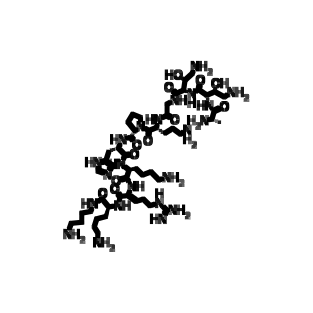 C[C@H](N)C(=O)N[C@H](C(=O)N[C@H](C(=O)NCC(=O)N[C@H](CCCN)C(=O)N1CCC[C@H]1C(=O)N[C@@H](Cc1cnc[nH]1)C(=O)N[C@@H](CCCCN)C(=O)N/C(=C\CCNC(=N)N)C(=O)N[C@@H](CCCCN)C(=O)NCCCCN)[C@@H](O)CN)[C@@H](O)CN